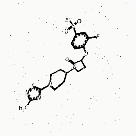 CCS(=O)(=O)c1ccc(OC2CCN(C3CCN(c4nc(C)ns4)CC3)C2=O)c(F)c1